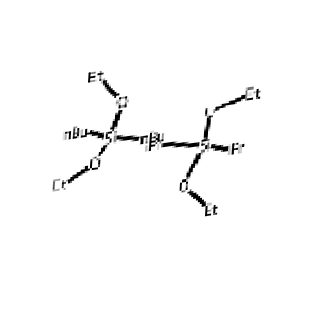 CCCC[Si](CCCC)(OCC)OCC.CCO[Si](OCC)(C(C)C)C(C)C